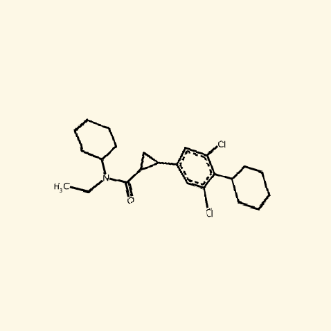 CCN(C(=O)C1CC1c1cc(Cl)c(C2CCCCC2)c(Cl)c1)C1CCCCC1